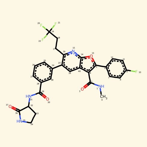 CNC(=O)c1c(-c2ccc(F)cc2)oc2nc(CCC(F)(F)F)c(-c3cccc(C(=O)NC4CCNC4=O)c3)cc12